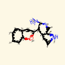 Nc1ncc2[nH]ccc2c1-c1cc2ccccc2o1